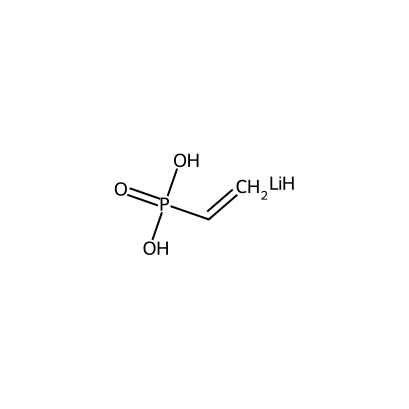 C=CP(=O)(O)O.[LiH]